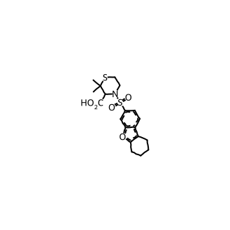 CC1(C)SCCN(S(=O)(=O)c2ccc3c4c(oc3c2)CCCC4)C1C(=O)O